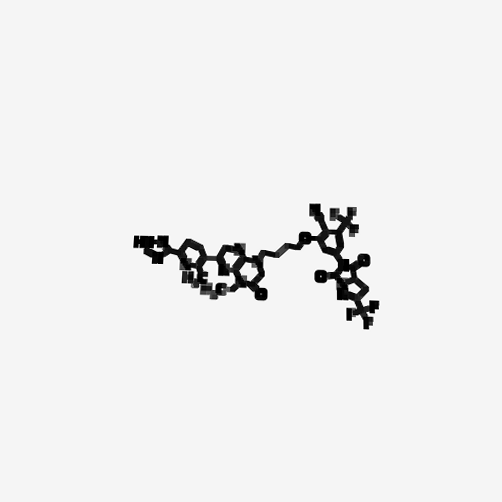 CCN1C(=O)CN(CCCCOc2cc(N3C(=O)C4CC(C(F)(F)F)=NN4C3=O)cc(C(F)(F)F)c2C#N)c2ncc(-c3ccc(-c4nc[nH]n4)nc3C)nc21